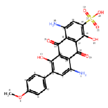 COc1ccc(-c2cc(N)c3c(c2O)C(=O)c2c(N)cc(S(=O)(=O)O)c(O)c2C3=O)cc1